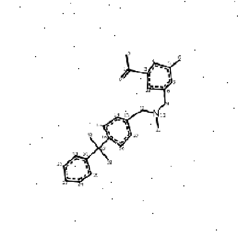 C=C(C)c1cc(C)cc(CN(C)Cc2ccc(C(C)(C)c3ccccc3)cc2)c1